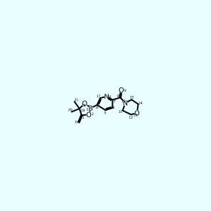 C=C1OB(c2ccc(C(=O)N3CCOCC3)nc2)OC1(C)C